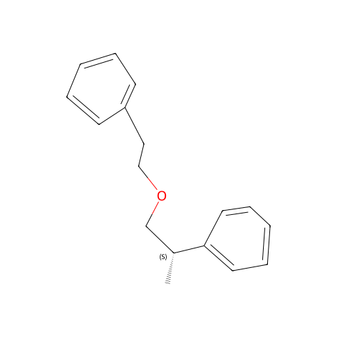 C[C@H](COCCc1ccccc1)c1ccccc1